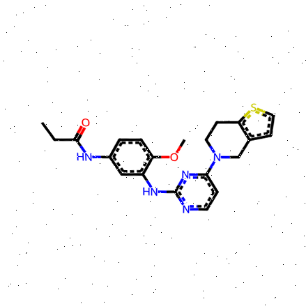 CCC(=O)Nc1ccc(OC)c(Nc2nccc(N3CCc4sccc4C3)n2)c1